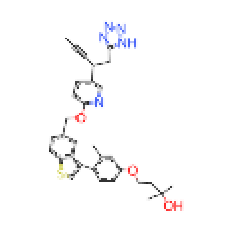 CC#CC(Cc1nnn[nH]1)c1ccc(OCc2ccc3scc(-c4ccc(OCCC(C)(C)O)cc4C)c3c2)nc1